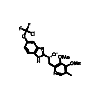 COc1c(C)cnc(C[S+]([O-])c2nc3cc(OC(F)(F)Cl)ccc3[nH]2)c1OC